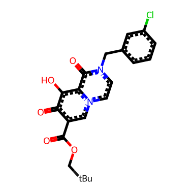 CC(C)(C)COC(=O)c1cn2ccn(Cc3cccc(Cl)c3)c(=O)c2c(O)c1=O